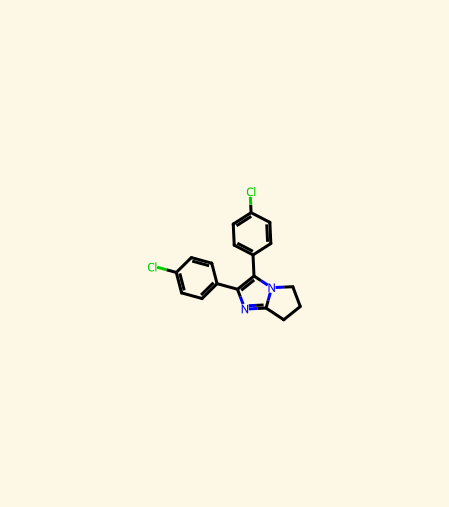 Clc1ccc(-c2nc3n(c2-c2ccc(Cl)cc2)CCC3)cc1